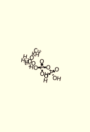 O.O.O.O=P(O)(O)OP(=O)(O)O.[Cu].[KH]